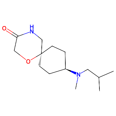 CC(C)CN(C)[C@H]1CC[C@@]2(CC1)CNC(=O)CO2